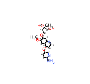 COc1cc2c(Oc3ccc(N)nc3)ccnc2cc1OCC[C@](C)(O)CO